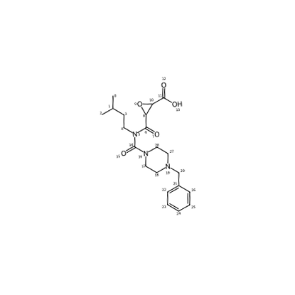 CC(C)CCN(C(=O)C1OC1C(=O)O)C(=O)N1CCN(Cc2ccccc2)CC1